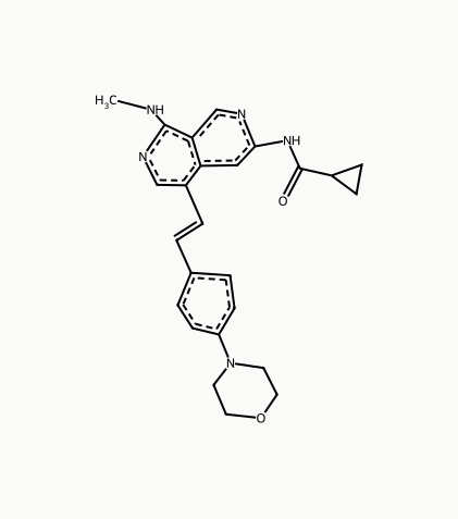 CNc1ncc(C=Cc2ccc(N3CCOCC3)cc2)c2cc(NC(=O)C3CC3)ncc12